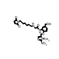 Cn1c(COc2ccc(CO)cc2NC(=O)CNCCCCCCN2C(=O)C=CC2=O)cnc1[N+](=O)[O-]